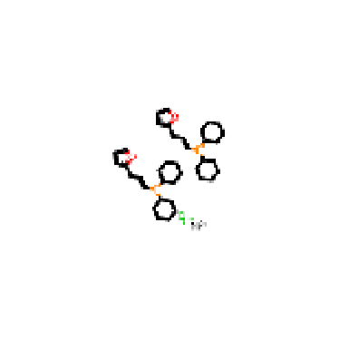 C(=CP(C1CCCCC1)C1CCCCC1)Cc1ccco1.C(=CP(C1CCCCC1)C1CCCCC1)Cc1ccco1.[Cl-].[Cl-].[Ni+2]